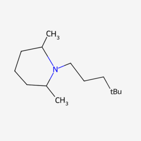 CC1CCCC(C)N1CCCC(C)(C)C